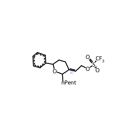 CCCCCC1OC(c2ccccc2)CC/C1=C\COS(=O)(=O)C(F)(F)F